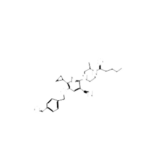 CCCCC(=O)N1CCN(c2nc(C3CC3)c(OCc3ccc(C=O)cc3)cc2C#N)CC1C